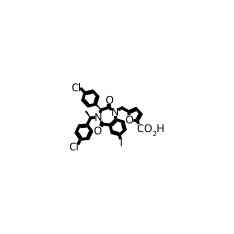 C[C@H](c1ccc(Cl)cc1)N1C(=O)c2cc(I)ccc2N(Cc2ccc(C(=O)O)o2)C(=O)[C@@H]1c1ccc(Cl)cc1